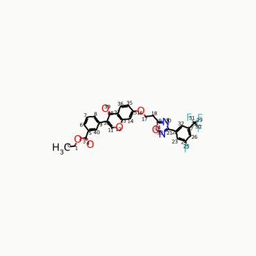 CCOC(=O)c1cccc(-c2coc3cc(OCCc4nc(-c5cc(F)cc(C(F)(F)F)c5)no4)ccc3c2=O)c1